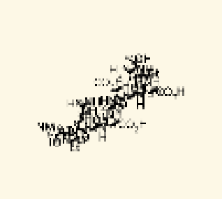 CC[C@H](NC(=O)C(NC)[C@@H](C)O)C(=O)N[C@@H](CCCNC(=N)N)C(=O)NCC(=O)N[C@@H](CCC(=O)O)C(=O)NCC(=O)N[C@@H](CCC(=O)O)C(=O)NCC(=O)N[C@@H](CCC(=O)O)C(=O)N[C@@H](CC)C(=O)NC(C(N)=O)[C@@H](C)O